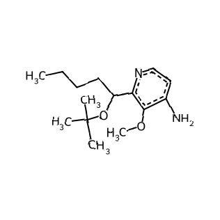 CCCCC(OC(C)(C)C)c1nccc(N)c1OC